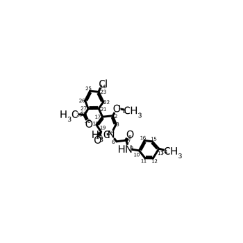 COC(=C/N(C)CC(=O)Nc1ccc(C)cc1)/C(=C\C=O)c1cc(Cl)ccc1C(C)=O